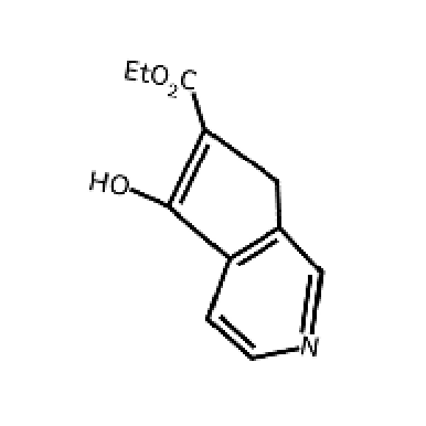 CCOC(=O)C1=C(O)c2ccncc2C1